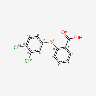 O=C(O)c1ccccc1Sc1ccc(Cl)c(Cl)c1